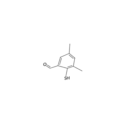 Cc1cc(C)c(S)c(C=O)c1